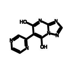 Oc1nc2ncnn2c(O)c1-c1cnccn1